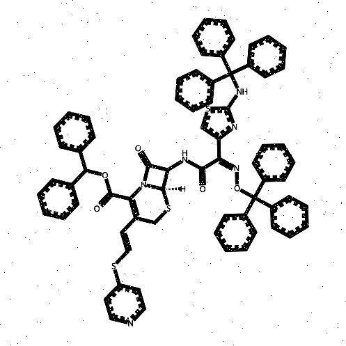 O=C(OC(c1ccccc1)c1ccccc1)C1=C(/C=C/Sc2ccncc2)CS[C@@H]2C(NC(=O)/C(=N\OC(c3ccccc3)(c3ccccc3)c3ccccc3)c3csc(NC(c4ccccc4)(c4ccccc4)c4ccccc4)n3)C(=O)N12